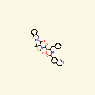 Cc1ccccc1CNC(=O)C1N(C(=O)[C@@H](O)C(Cc2ccccc2)NC(=O)c2ccc3ccncc3c2)CSC1(C)C